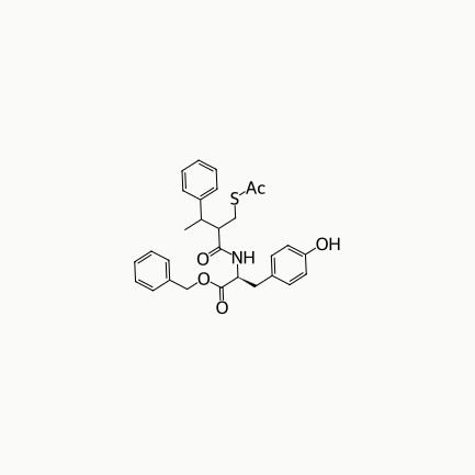 CC(=O)SCC(C(=O)N[C@@H](Cc1ccc(O)cc1)C(=O)OCc1ccccc1)C(C)c1ccccc1